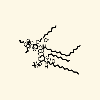 C=CCOP(=O)(OCC=C)O[C@H]1[C@H](OCC[C@@H](CCCCCCC)OC)[C@@H](NC(=O)CCCCCCCCC/C=C\CCCCCC)[C@H](OC[C@H]2O[C@@H](O[Si](C)(C)C(C)(C)C)[C@H](NC(=O)CC(=O)CCCCCCCCCCC)[C@@H](OCCCCCCCCCC)[C@@H]2C)O[C@@H]1COC